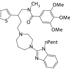 CCCCCn1c(N2CCCN(CCC(CN(C)C(=O)c3cc(OC)c(OC)c(OC)c3)c3cccs3)CC2)nc2ccccc21